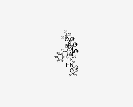 CC(C)(C)OC(=O)NCCCn1c(=O)n2c(=O)n(C(=O)OC(C)(C)C)nc2c2cc3ccccc3cc21